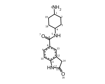 NC1CCC(NC(=O)c2ccc3c(c2)CC(=O)N3)CC1